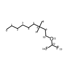 CCCCCCC(C)(C)CCOC(F)F